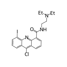 CCN(CC)CCNC(=O)c1cccc2c(Cl)c3cccc(I)c3nc12